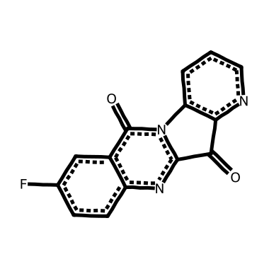 O=C1c2ncccc2-n2c1nc1ccc(F)cc1c2=O